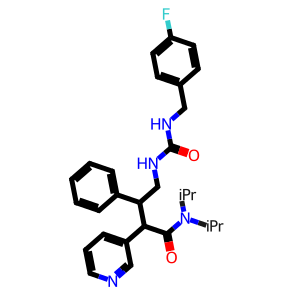 CC(C)N(C(=O)C(c1cccnc1)C(CNC(=O)NCc1ccc(F)cc1)c1ccccc1)C(C)C